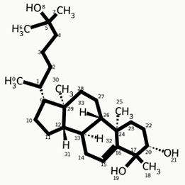 CC(CCCC(C)(C)O)[C@H]1CC[C@H]2[C@@H]3CC=C4C(C)(O)[C@@H](O)CC[C@]4(C)[C@H]3CC[C@]12C